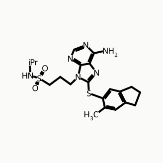 Cc1cc2c(cc1Sc1nc3c(N)ncnc3n1CCCS(=O)(=O)NC(C)C)CCC2